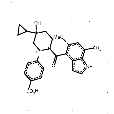 COc1cc(C)c2[nH]ccc2c1C(=O)N1CCC(O)(C2CC2)C[C@H]1c1ccc(C(=O)O)cc1